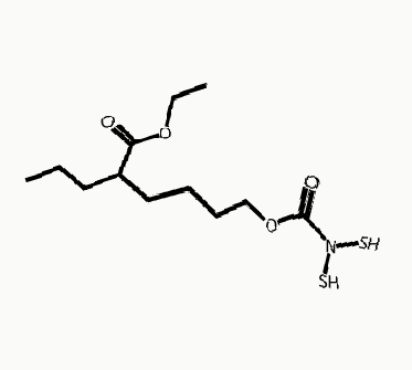 CCCC(CCCCOC(=O)N(S)S)C(=O)OCC